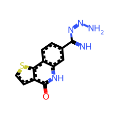 N=C(/N=N\N)c1ccc2c(c1)[nH]c(=O)c1ccsc12